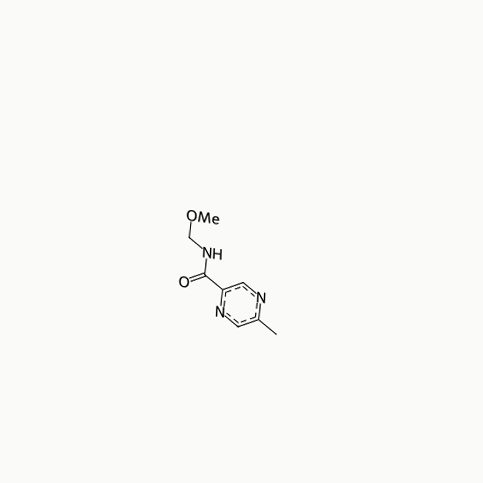 COCNC(=O)c1cnc(C)cn1